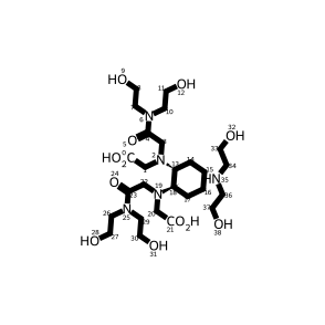 O=C(O)CN(CC(=O)N(CCO)CCO)[C@@H]1CCCC[C@H]1N(CC(=O)O)CC(=O)N(CCO)CCO.OCCNCCO